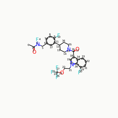 CC(=O)N(F)Cc1ccc(F)c(C2CCN(C(=O)c3cn(CCOC(F)(F)F)c4c(F)cccc34)CC2)c1